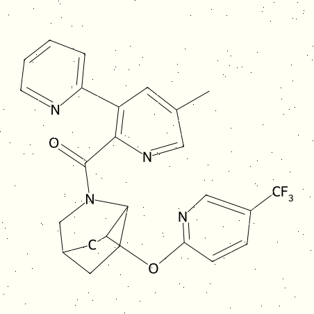 Cc1cnc(C(=O)N2CC3CCC2C(Oc2ccc(C(F)(F)F)cn2)C3)c(-c2ccccn2)c1